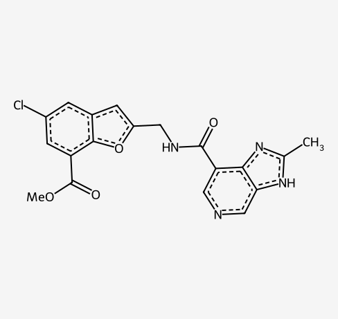 COC(=O)c1cc(Cl)cc2cc(CNC(=O)c3cncc4[nH]c(C)nc34)oc12